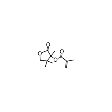 C=C(C)C(=O)OC1(C)C(=O)OCC1(C)C